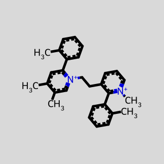 Cc1cc(-c2ccccc2C)[n+](CCc2ccc[n+](C)c2-c2ccccc2C)cc1C